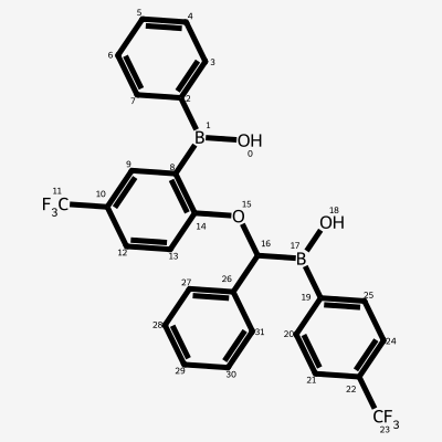 OB(c1ccccc1)c1cc(C(F)(F)F)ccc1OC(B(O)c1ccc(C(F)(F)F)cc1)c1ccccc1